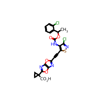 CC(OC(=O)Nc1c(Cl)nsc1C#Cc1nc2oc(C3(C(=O)O)CC3)nc2o1)c1ccccc1Cl